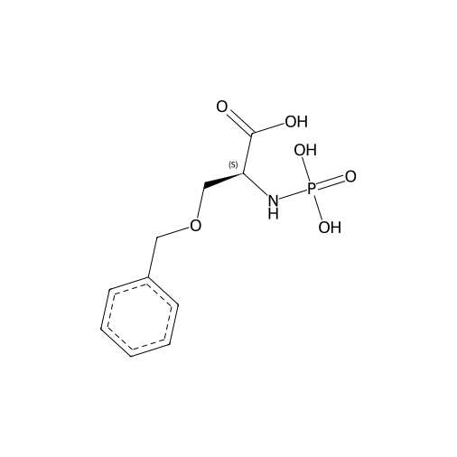 O=C(O)[C@H](COCc1ccccc1)NP(=O)(O)O